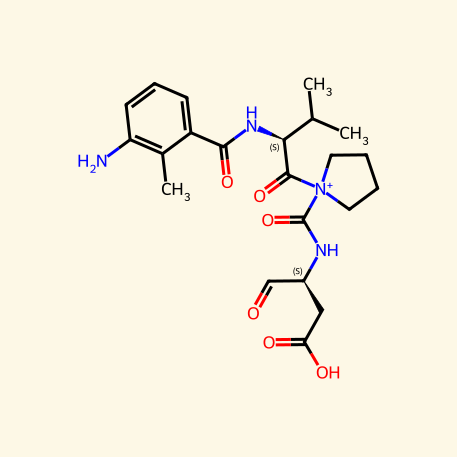 Cc1c(N)cccc1C(=O)N[C@H](C(=O)[N+]1(C(=O)N[C@H](C=O)CC(=O)O)CCCC1)C(C)C